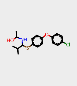 CC(O)NC(Sc1ccc(Oc2ccc(Cl)cc2)cc1)C(C)C